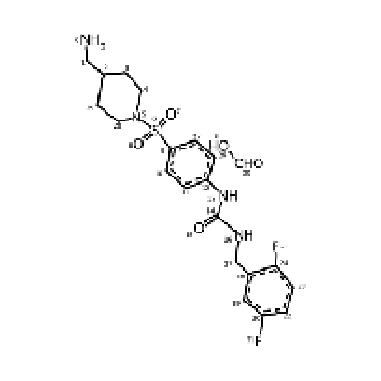 NCC1CCN(S(=O)(=O)c2ccc(NC(=O)NCc3cc(F)ccc3F)cc2)CC1.O=CO